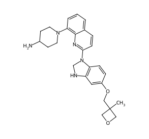 CC1(COc2ccc3c(c2)NCN3c2ccc3cccc(N4CCC(N)CC4)c3n2)COC1